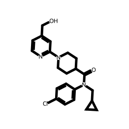 O=C(C1CCN(c2cc(CO)ccn2)CC1)N(CC1CC1)c1ccc(Cl)cc1